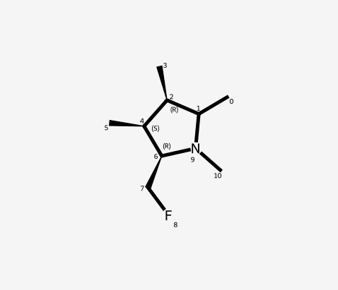 CC1[C@H](C)[C@H](C)[C@H](CF)N1C